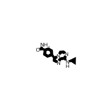 NC(=O)c1ccc(-c2cnc3c(NC4CC4)nccn23)cc1